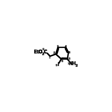 CCOC(=O)Cc1cccc(N)c1I